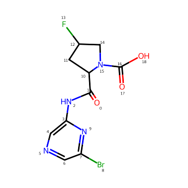 O=C(Nc1cncc(Br)n1)C1CC(F)CN1C(=O)O